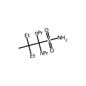 CCCC(CCC)(C(C)(CC)CC)S(N)(=O)=O